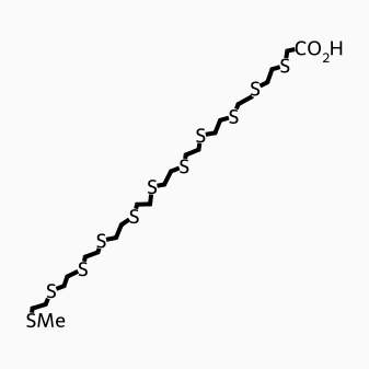 CSCCSCCSCCSCCSCCSCCSCCSCCSCCSCCSCC(=O)O